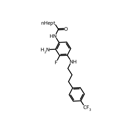 CCCCCCCC(=O)Nc1ccc(NCCCc2ccc(C(F)(F)F)cc2)c(F)c1N